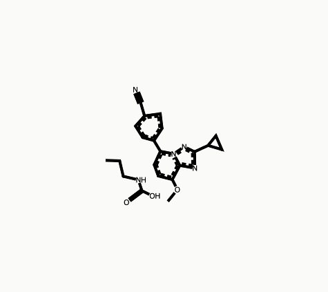 CCCNC(=O)O.COc1ccc(-c2ccc(C#N)cc2)n2nc(C3CC3)nc12